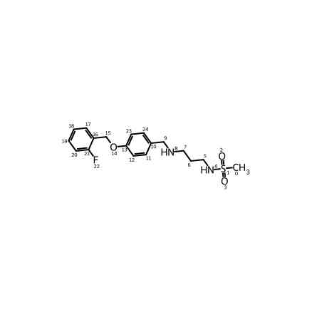 CS(=O)(=O)NCCCNCc1ccc(OCc2ccccc2F)cc1